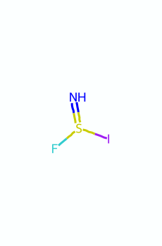 N=S(F)I